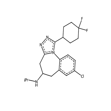 CC(C)NC1Cc2cc(Cl)ccc2-n2c(nnc2C2CCC(F)(F)CC2)C1